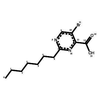 CCCCCCCc1ncc(Br)c(C(=O)O)n1